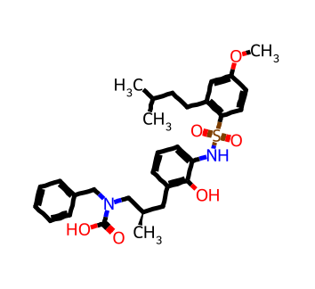 COc1ccc(S(=O)(=O)Nc2cccc(C[C@@H](C)CN(Cc3ccccc3)C(=O)O)c2O)c(CCC(C)C)c1